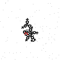 CC(C)(C)c1ccc(N2B3c4sc5cc6c(cc5c4N(c4ccc(C(C)(C)C)cc4-c4ccccc4)c4cc5c(oc7ccccc75)c(c43)-c3cc4c(cc32)C(C)(C)c2ccc(N(c3ccc(C(C)(C)C)cc3)c3ccc(C(C)(C)C)cc3)cc2-4)C(C)(C)CCC6(C)C)cc1